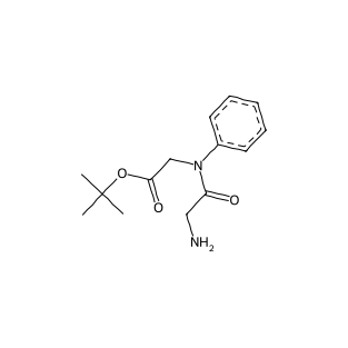 CC(C)(C)OC(=O)CN(C(=O)CN)c1ccccc1